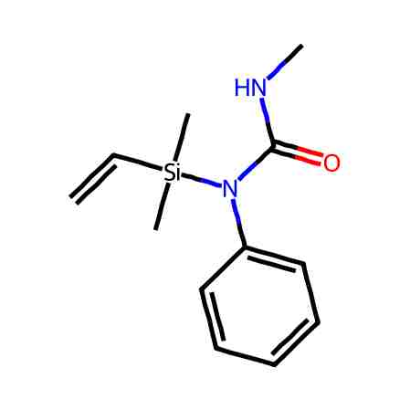 C=C[Si](C)(C)N(C(=O)NC)c1ccccc1